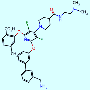 Cc1ccc(C(=O)O)c(Oc2nc(Oc3cccc(-c4cccc(CN)c4)c3)c(F)c(N3CCC(C(=O)NCCN(C)C)CC3)c2F)c1